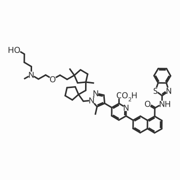 Cc1c(-c2ccc(-c3ccc4cccc(C(=O)Nc5nc6ccccc6s5)c4c3)nc2C(=O)O)cnn1CC1(CC2(C)CCC(C)(CCOCCN(C)CCCO)C2)CCCC1